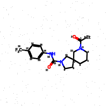 CCC(=O)N1CCCC2(CCN(C(=O)Nc3ccc(C(F)(F)F)cc3)C2)C1